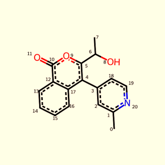 Cc1cc(-c2c(C(C)O)oc(=O)c3ccccc23)ccn1